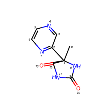 CC1(c2cn[c]cn2)NC(=O)NC1=O